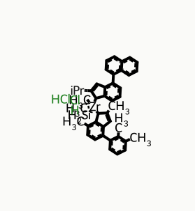 CC1=Cc2c(-c3cccc(C)c3C)ccc(C)c2[CH]1[Zr]([CH3])([CH3])(=[SiH2])[CH]1C(C(C)C)=Cc2c(-c3cccc4ccccc34)cccc21.Cl.Cl